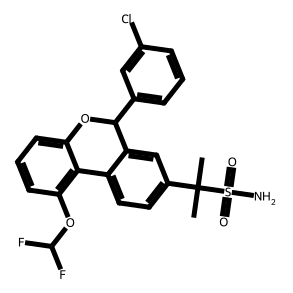 CC(C)(c1ccc2c(c1)C(c1cccc(Cl)c1)Oc1cccc(OC(F)F)c1-2)S(N)(=O)=O